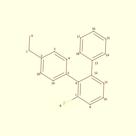 CCc1ccc(-c2c(F)cccc2-c2ccccc2)cc1